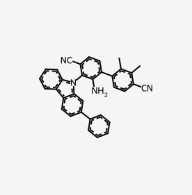 Cc1c(C#N)ccc(-c2ccc(C#N)c(-n3c4ccccc4c4ccc(-c5ccccc5)cc43)c2N)c1C